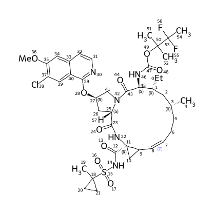 CC[C@@H]1C[C@H](C)CC/C=C\C2C[C@@]2(C(=O)NS(=O)(=O)C2(C)CC2)NC(=O)[C@@H]2C[C@@H](Oc3nccc4cc(OC)c(Cl)cc34)CN2C(=O)[C@H]1NC(=O)OC(C)(C)C(C)(F)F